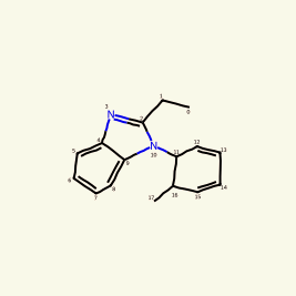 CCc1nc2ccccc2n1C1C=CC=CC1C